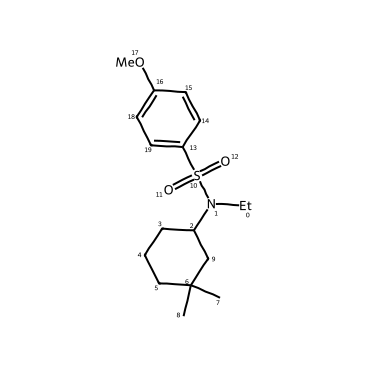 CCN(C1CCCC(C)(C)C1)S(=O)(=O)c1ccc(OC)cc1